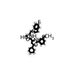 COc1cccc(C(=O)NC(CCC2CCCCC2)C(=O)N[C@H](CO)CN2CCc3cc(F)ccc32)c1